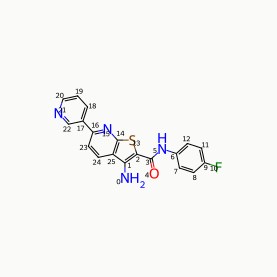 Nc1c(C(=O)Nc2ccc(F)cc2)sc2nc(-c3cccnc3)ccc12